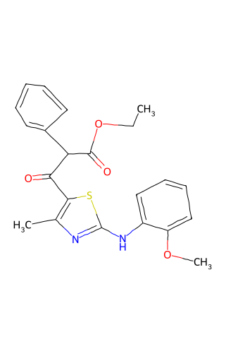 CCOC(=O)C(C(=O)c1sc(Nc2ccccc2OC)nc1C)c1ccccc1